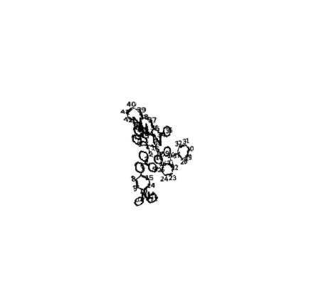 CC1(COC(=O)Oc2ccc([N+](=O)[O-])cc2)[C@H](C(=O)OC(c2ccccc2)c2ccccc2)N2C(=O)/C(=C/c3ccccn3)[C@H]2S1(=O)=O